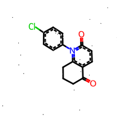 O=C1CCCc2c1ccc(=O)n2-c1ccc(Cl)cc1